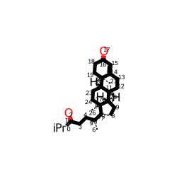 CC(C)C(=O)CC[C@@H](C)[C@H]1CC[C@H]2[C@@H]3CCC4=CC(=O)CC[C@]4(C)[C@H]3CC[C@]12C